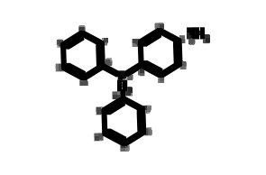 N.c1ccc([PH2](c2ccccc2)c2ccccc2)cc1